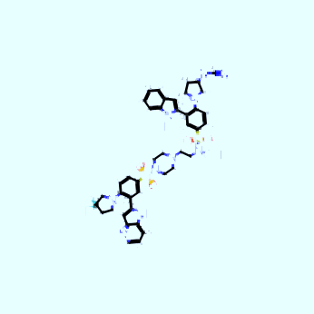 CN(CCN1CCN(S(=O)(=O)c2ccc(N3CCC(F)(F)C3)c(-c3cc4ncccc4[nH]3)c2)CC1)S(=O)(=O)c1ccc(N2CCC(NC#N)C2)c(-c2cc3ccccc3[nH]2)c1